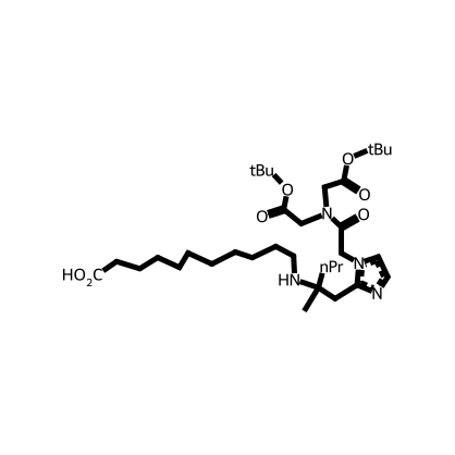 CCCC(C)(Cc1nccn1CC(=O)N(CC(=O)OC(C)(C)C)CC(=O)OC(C)(C)C)NCCCCCCCCCCC(=O)O